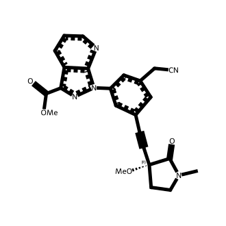 COC(=O)c1nn(-c2cc(C#C[C@]3(OC)CCN(C)C3=O)cc(CC#N)c2)c2ncccc12